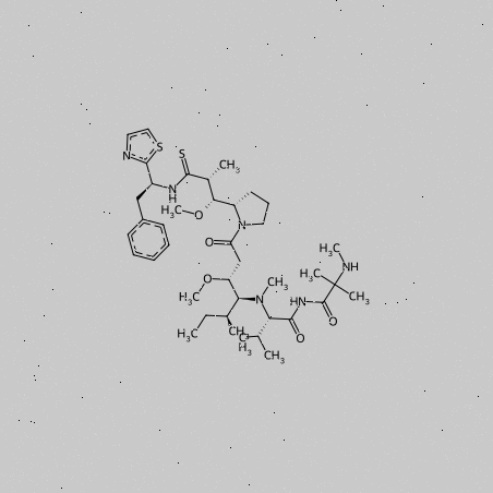 CC[C@H](C)[C@@H]([C@@H](CC(=O)N1CCC[C@H]1[C@H](OC)[C@@H](C)C(=S)N[C@@H](Cc1ccccc1)c1nccs1)OC)N(C)[C@H](C(=O)NC(=O)C(C)(C)NC)C(C)C